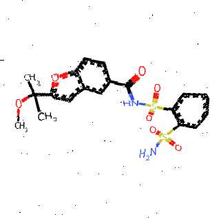 COC(C)(C)c1cc2cc(C(=O)NS(=O)(=O)c3ccccc3S(N)(=O)=O)ccc2o1